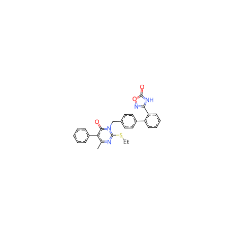 CCSc1nc(C)c(-c2ccccc2)c(=O)n1Cc1ccc(-c2ccccc2-c2noc(=O)[nH]2)cc1